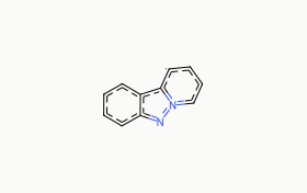 [c]1cccn2nc3ccccc3c12